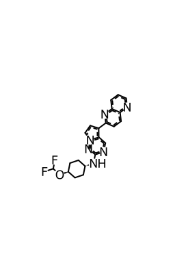 FC(F)O[C@H]1CC[C@H](Nc2ncc3c(-c4ccc5ncccc5n4)ccn3n2)CC1